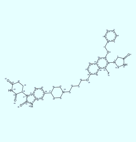 O=C1CN(c2c(OCc3ccccc3)cc3ccc(OCCCCN4CCC(c5ccc6c(c5)[nH]c(=O)n6C5CCC(=O)NC5=O)CC4)cc3c2F)SN1